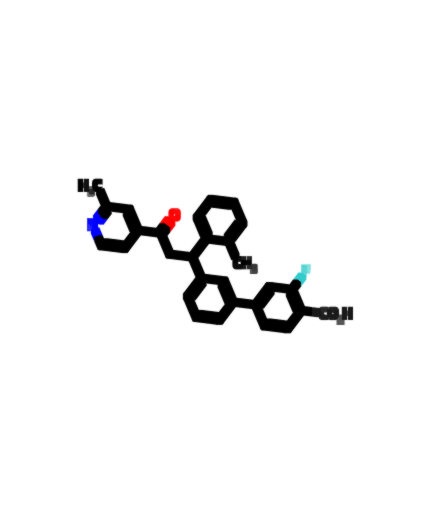 Cc1cc(C(=O)CC(c2cccc(-c3ccc(C(=O)O)c(F)c3)c2)c2ccccc2C)ccn1